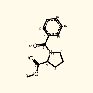 COC(=O)C1CCCN1C(=O)c1ccccc1